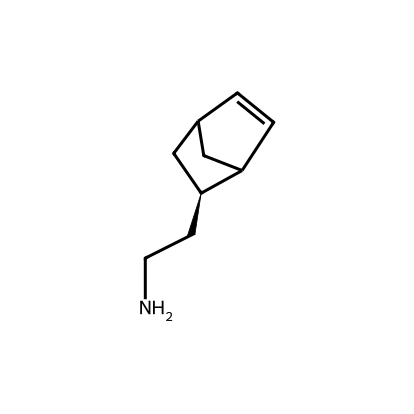 NCC[C@H]1CC2C=CC1C2